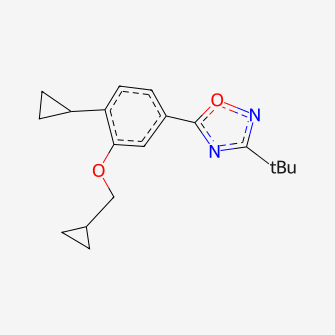 CC(C)(C)c1noc(-c2ccc(C3CC3)c(OCC3CC3)c2)n1